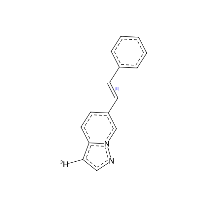 [2H]c1cnn2cc(/C=C/c3ccccc3)ccc12